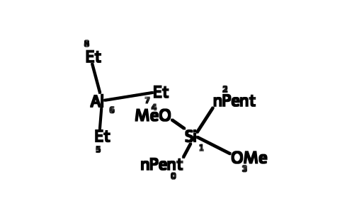 CCCCC[Si](CCCCC)(OC)OC.C[CH2][Al]([CH2]C)[CH2]C